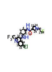 O=C(N[C@@H]1CCC[C@H](Nc2cc(C(F)(F)F)nc3ccc(Cl)cc23)C1)c1ccn(CCF)c1